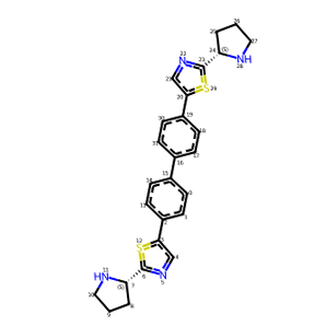 c1cc(-c2cnc([C@@H]3CCCN3)s2)ccc1-c1ccc(-c2cnc([C@@H]3CCCN3)s2)cc1